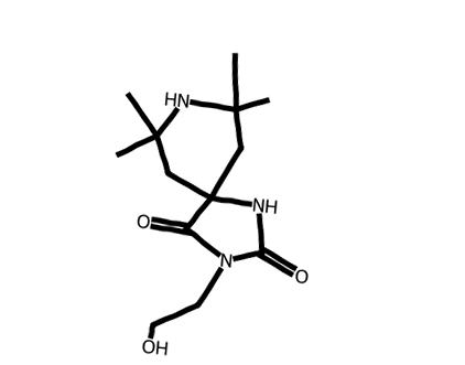 CC1(C)CC2(CC(C)(C)N1)NC(=O)N(CCO)C2=O